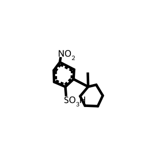 CC1(c2cc([N+](=O)[O-])ccc2S(=O)(=O)O)CCCCC1